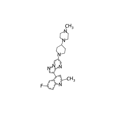 Cc1cc(-c2cnn3cc(N4CCC(N5CCN(C)CC5)CC4)cnc23)c2cc(F)ccc2n1